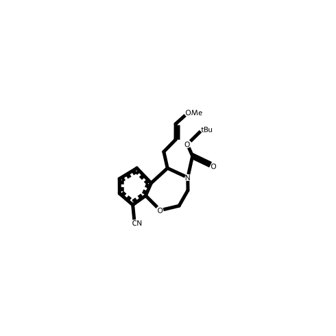 COC=CCC1c2cccc(C#N)c2OCCN1C(=O)OC(C)(C)C